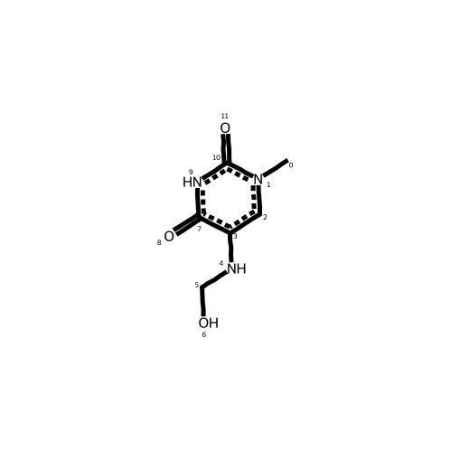 Cn1cc(NCO)c(=O)[nH]c1=O